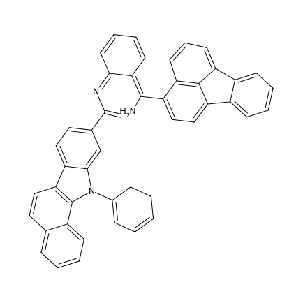 C=C(/N=C1/C=CC=C/C1=C(/N)c1ccc2c3c(cccc13)-c1ccccc1-2)c1ccc2c3ccc4ccccc4c3n(C3=CC=CCC3)c2c1